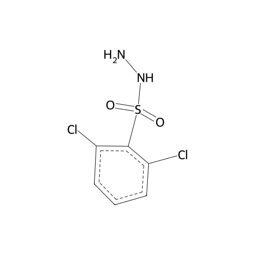 NNS(=O)(=O)c1c(Cl)cccc1Cl